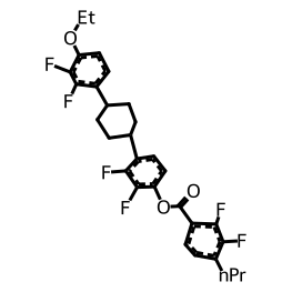 CCCc1ccc(C(=O)Oc2ccc(C3CCC(c4ccc(OCC)c(F)c4F)CC3)c(F)c2F)c(F)c1F